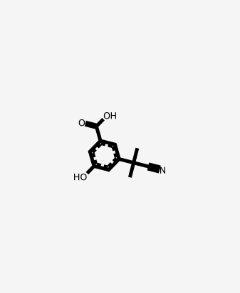 CC(C)(C#N)c1cc(O)cc(C(=O)O)c1